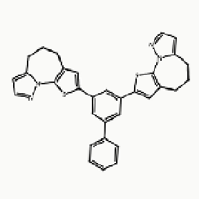 c1ccc(-c2cc(-c3cc4c(s3)-n3nccc3CCC4)cc(-c3cc4c(s3)-n3nccc3CCC4)c2)cc1